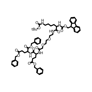 CC(C)(C)OC(=O)NCCCCC(NC(=O)OCC1c2ccccc2-c2ccccc21)C(=O)NCCOCCOCC(=O)NC(CCC(=O)OCc1ccccc1)C(=O)NC(CCC(=O)OCc1ccccc1)C(=O)OCc1ccccc1